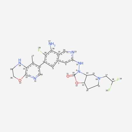 Cc1c(-c2cc3cc(NN4C(=O)OC5CCN(CC(F)F)CC54)ncc3c(N)c2F)cnc2c1NCCO2